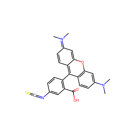 CN(C)c1ccc2c(-c3ccc(N=C=S)cc3C(=O)O)c3ccc(=[N+](C)C)cc-3oc2c1